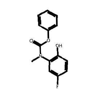 CN(C(=O)Oc1ccccc1)c1cc(F)ccc1O